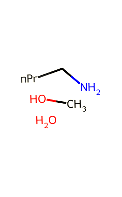 CCCCN.CO.O